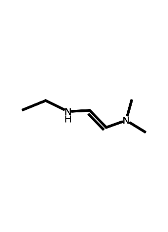 CCNC=CN(C)C